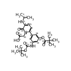 CC(C)Nc1ncc(-c2cc(NC(=O)OC(C)(C)C)cc(OC(=O)C(C)(C)C)c2)n(CC(=O)O)c1=O